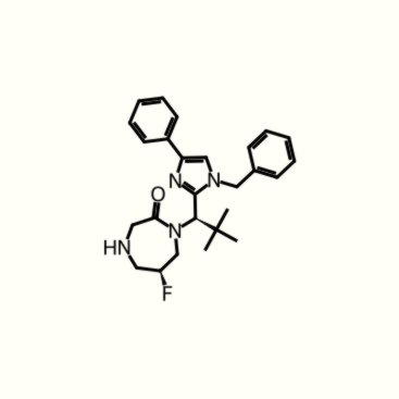 CC(C)(C)[C@H](c1nc(-c2ccccc2)cn1Cc1ccccc1)N1C[C@@H](F)CNCC1=O